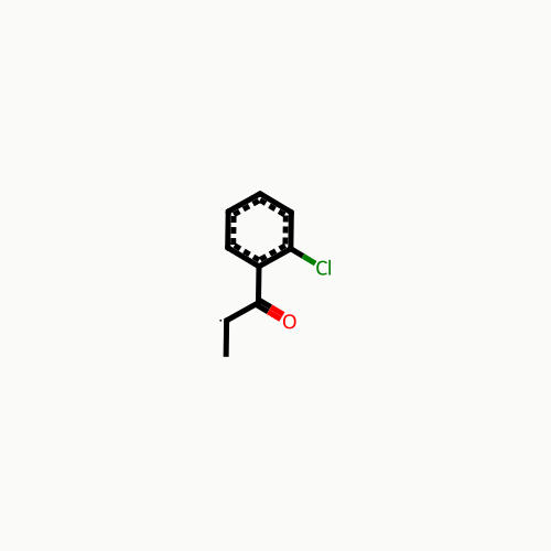 C[CH]C(=O)c1ccccc1Cl